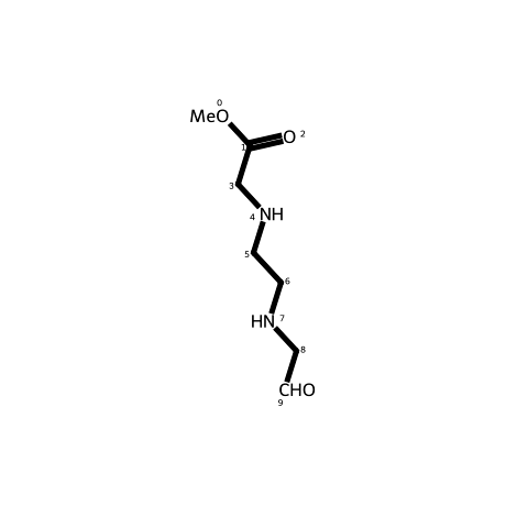 COC(=O)CNCCNCC=O